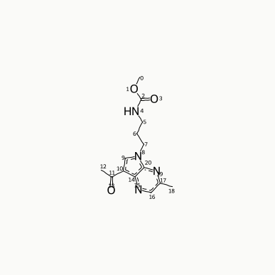 COC(=O)NCCCn1cc(C(C)=O)c2ncc(C)nc21